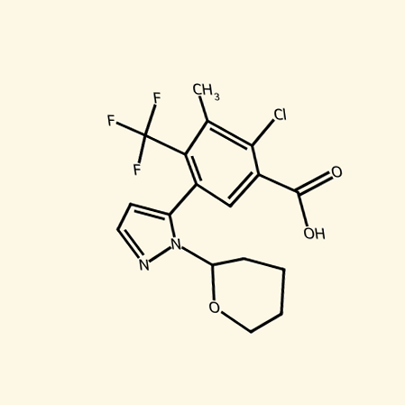 Cc1c(Cl)c(C(=O)O)cc(-c2ccnn2C2CCCCO2)c1C(F)(F)F